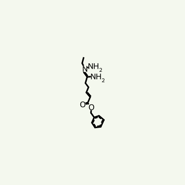 CCN(N)/C=C(\N)CC/C=C/C(=O)OCc1ccccc1